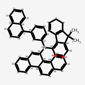 CC1(C)C2=C(C=CCC2)c2c(N(c3cccc(-c4cccc5ccccc45)c3)c3cc4ccccc4c4ccc5ccccc5c34)cccc21